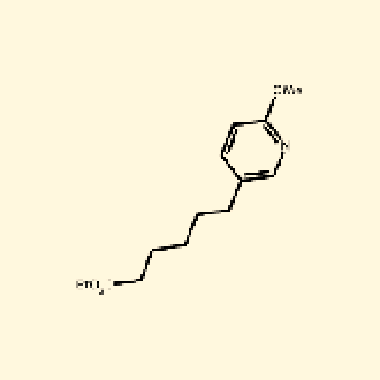 CCOC(=O)CCCCCc1ccc(OC)nc1